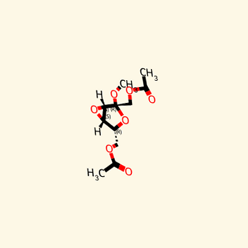 CO[C@]1(COC(C)=O)O[C@H](COC(C)=O)[C@@H]2O[C@@H]21